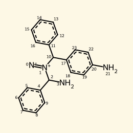 [N-]=[N+](C(N)c1ccccc1)C(c1ccccc1)c1ccc(N)cc1